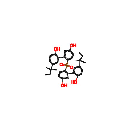 CCC(C)(C)c1ccc(O)c(-c2cc(O)ccc2S(=O)(=O)c2ccc(O)cc2-c2cc(C(C)(C)CC)ccc2O)c1